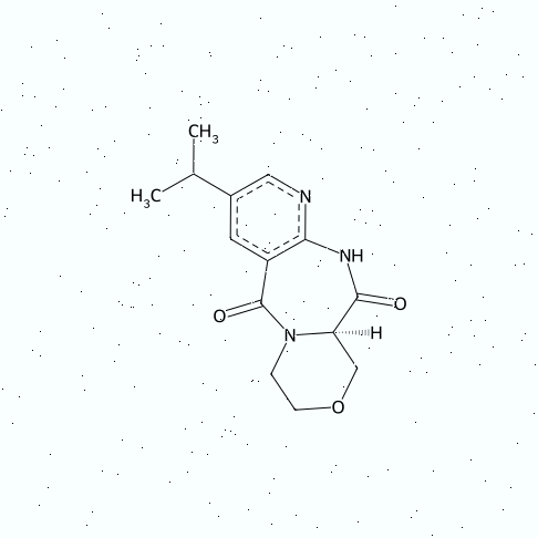 CC(C)c1cnc2c(c1)C(=O)N1CCOC[C@@H]1C(=O)N2